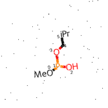 COP(O)OCC(C)C